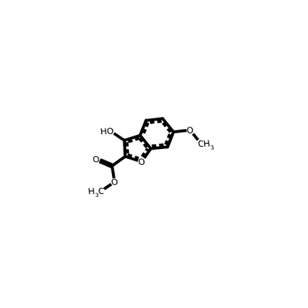 COC(=O)c1oc2cc(OC)ccc2c1O